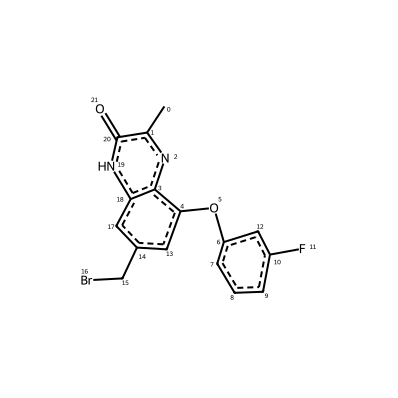 Cc1nc2c(Oc3cccc(F)c3)cc(CBr)cc2[nH]c1=O